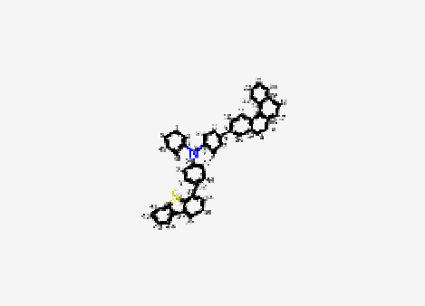 c1ccc(N(c2ccc(-c3ccc4c(ccc5ccc6ccccc6c54)c3)cc2)c2ccc(-c3cccc4c3sc3ccccc34)cc2)cc1